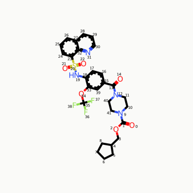 O=C(OCC1CCCC1)N1CCN(C(=O)c2ccc(NS(=O)(=O)c3cccc4cccnc34)c(OC(F)(F)F)c2)CC1